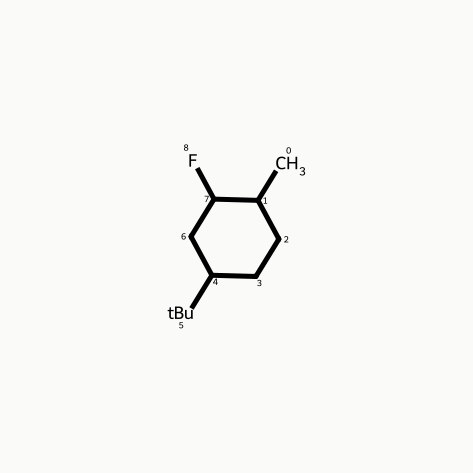 CC1CCC(C(C)(C)C)CC1F